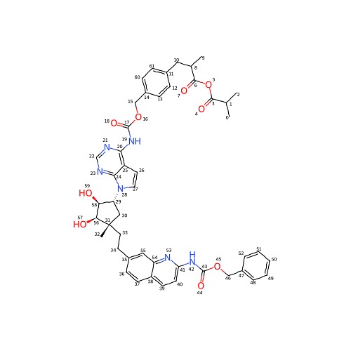 CC(C)C(=O)OC(=O)C(C)Cc1ccc(COC(=O)Nc2ncnc3c2ccn3[C@@H]2C[C@](C)(CCc3ccc4ccc(NC(=O)OCc5ccccc5)nc4c3)[C@@H](O)[C@H]2O)cc1